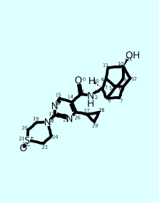 O=C(N[C@H]1C2CC3CC1C[C@@](O)(C3)C2)c1cnc(N2CC[S+]([O-])CC2)nc1C1CC1